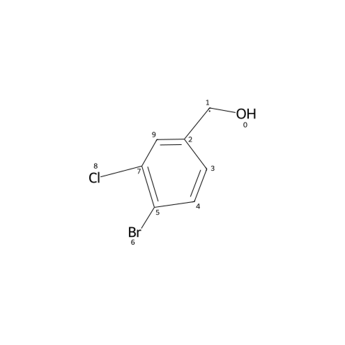 O[CH]c1ccc(Br)c(Cl)c1